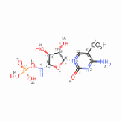 Nc1nc(=O)n([C@@H]2O[C@H](NOP(=O)(O)O)[C@@H](O)[C@H]2O)cc1C(=O)O